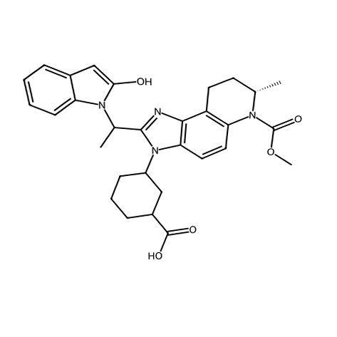 COC(=O)N1c2ccc3c(nc(C(C)n4c(O)cc5ccccc54)n3C3CCCC(C(=O)O)C3)c2CC[C@@H]1C